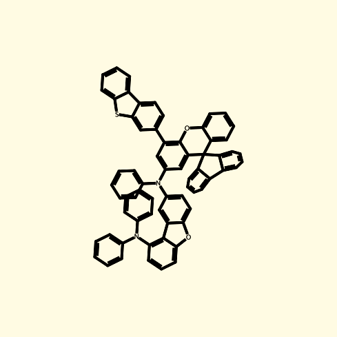 c1ccc(N(c2cc(-c3ccc4c(c3)sc3ccccc34)c3c(c2)C2(c4ccccc4O3)c3ccccc3-c3ccccc32)c2ccc3oc4cccc(N(c5ccccc5)c5ccccc5)c4c3c2)cc1